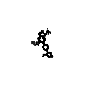 Cc1cc2cnn(PI)c2cc1C1CCN(C2COCC2F)CC1